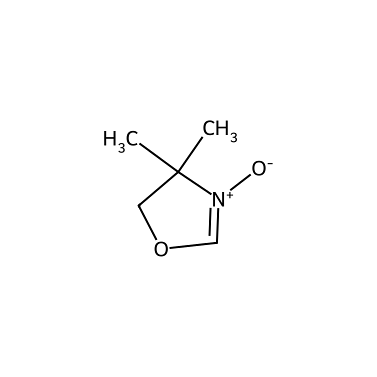 CC1(C)COC=[N+]1[O-]